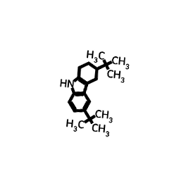 CC(C)(C)c1ccc2[nH]c3c(c2c1)CC(C(C)(C)C)CC3